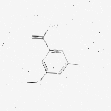 CCNc1cc(C(=O)OC)cc(C(F)(F)F)c1